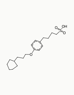 O=S(=O)(O)CCCCc1ccc(OCCCC2CCCCC2)cc1